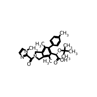 Cc1ccc(-c2c(C)c3c(c(C)c2[C@H](OC(C)(C)C)C(=O)O)CN(C(=O)c2nccn2C)C3)cc1